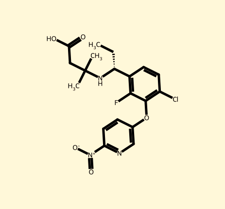 CC[C@@H](NC(C)(C)CC(=O)O)c1ccc(Cl)c(Oc2ccc([N+](=O)[O-])nc2)c1F